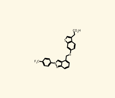 O=C(O)Cc1csc2cc(SCc3cccc4nn(-c5ccc(C(F)(F)F)cc5)cc34)ccc12